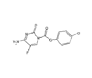 Nc1nc(=O)n(C(=O)Oc2ccc(Cl)cc2)cc1F